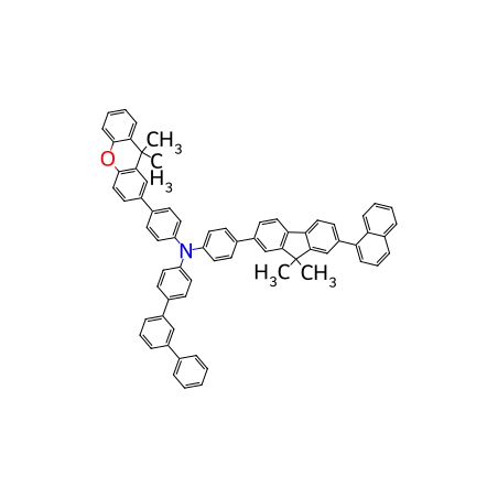 CC1(C)c2ccccc2Oc2ccc(-c3ccc(N(c4ccc(-c5cccc(-c6ccccc6)c5)cc4)c4ccc(-c5ccc6c(c5)C(C)(C)c5cc(-c7cccc8ccccc78)ccc5-6)cc4)cc3)cc21